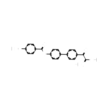 C=C(C)C(=O)c1ccc(-c2ccc(OC(=O)c3ccc(C)cc3)cc2)cc1